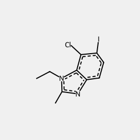 CCn1c(C)nc2ccc(I)c(Cl)c21